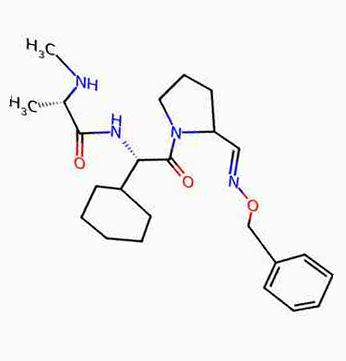 CN[C@@H](C)C(=O)N[C@H](C(=O)N1CCCC1C=NOCc1ccccc1)C1CCCCC1